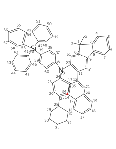 CC1(C)c2ccccc2-c2cc(-c3ccc4ccccc4c3)c(N(c3ccc(C4CCCCC4)cc3)c3ccc([Si](c4ccccc4)(c4ccccc4)c4ccccc4)cc3)cc21